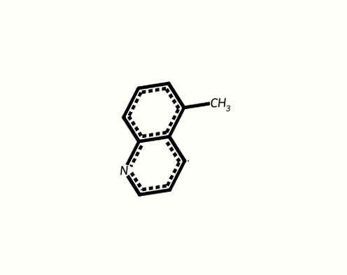 Cc1cccc2ncc[c]c12